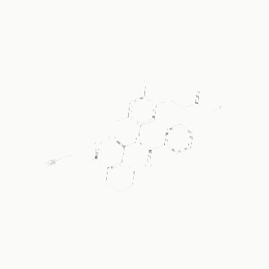 C#CCOC(=O)C1=C(C(=O)N(C(=O)c2ccccc2)c2cc(SCC(=O)OC)c(Cl)cc2F)CCCC1